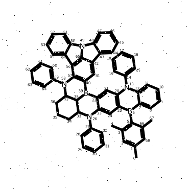 Cc1cc(C)c(B2c3ccccc3N(c3ccccc3)c3cc4c(cc32)N(c2ccccc2)C2CCCC3C2B4c2cc4c5ccccc5n5c6ccccc6c(c2N3c2ccccc2)c45)c(C)c1